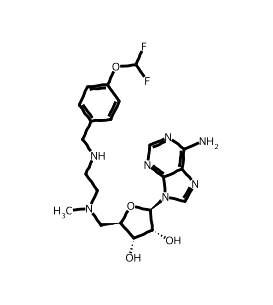 CN(CCNCc1ccc(OC(F)F)cc1)C[C@H]1O[C@@H](n2cnc3c(N)ncnc32)[C@H](O)[C@@H]1O